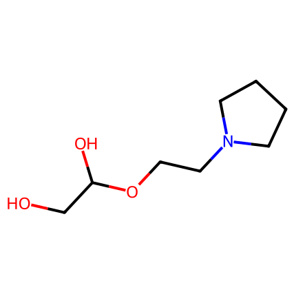 OCC(O)OCCN1CCCC1